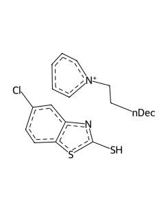 CCCCCCCCCCCC[n+]1ccccc1.Sc1nc2cc(Cl)ccc2s1